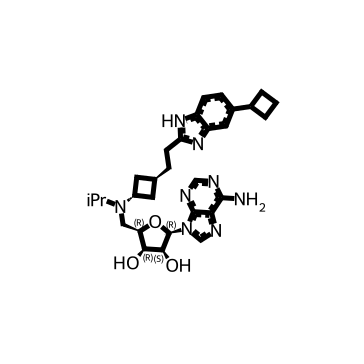 CC(C)N(C[C@H]1O[C@@H](n2cnc3c(N)ncnc32)[C@@H](O)[C@H]1O)[C@H]1C[C@H](CCc2nc3cc(C4CCC4)ccc3[nH]2)C1